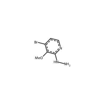 COc1c(Br)ccnc1NN